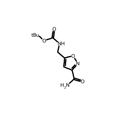 CC(C)(C)OC(=O)NCc1cc(C(N)=O)no1